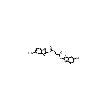 Nc1ccc2nc(SC(=O)CCC(=O)Sc3nc4ccc(N)cc4s3)sc2c1